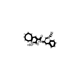 CCCCn1c2c(cc(C(=O)N[C@@H](CN=[N+]=[N-])Cc3ccccc3)c1=O)CCCCCC2